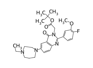 CCN1CCCN(c2ccc3nc(-c4ccc(F)c(OC)c4)n(CC(=O)OC(C)(C)C)c(=O)c3c2)CC1